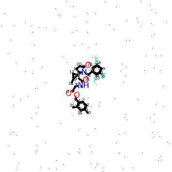 Cc1ccc(COC(=O)[C@H](CC2CC2)NC(=O)C[C@@H]2CCC(=O)N2Cc2cc(F)cc(F)c2F)c(C)c1